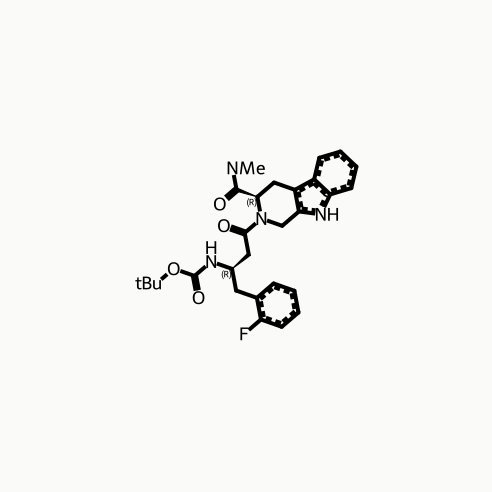 CNC(=O)[C@H]1Cc2c([nH]c3ccccc23)CN1C(=O)C[C@@H](Cc1ccccc1F)NC(=O)OC(C)(C)C